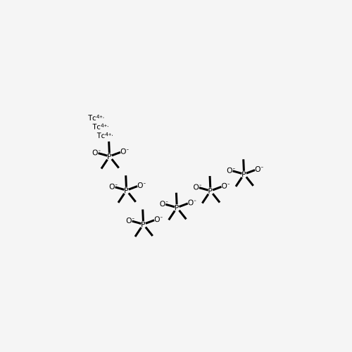 CP(C)(C)([O-])[O-].CP(C)(C)([O-])[O-].CP(C)(C)([O-])[O-].CP(C)(C)([O-])[O-].CP(C)(C)([O-])[O-].CP(C)(C)([O-])[O-].[Tc+4].[Tc+4].[Tc+4]